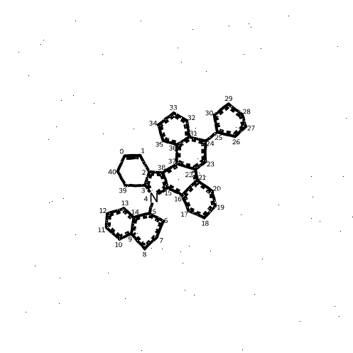 C1=Cc2c(n(-c3cccc4ccccc34)c3c4ccccc4c4cc(-c5ccccc5)c5ccccc5c4c23)CC1